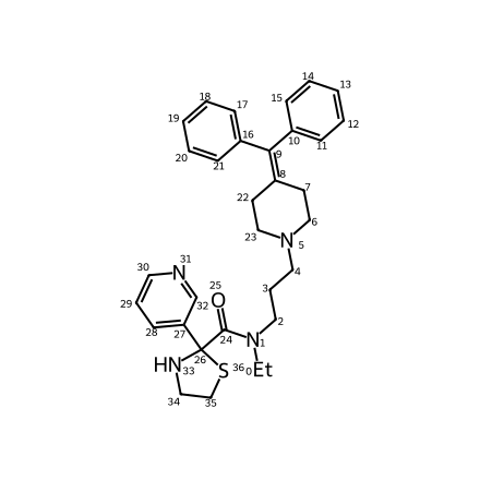 CCN(CCCN1CCC(=C(c2ccccc2)c2ccccc2)CC1)C(=O)C1(c2cccnc2)NCCS1